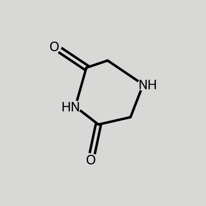 O=C1CNCC(=O)N1